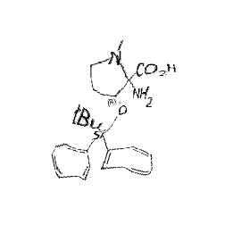 CN1CC[C@@H](O[Si](c2ccccc2)(c2ccccc2)C(C)(C)C)C1(N)C(=O)O